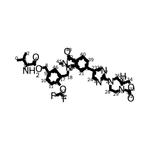 CC(C)[C@H](N)C(=O)OCc1ccc(OC(F)F)c(Cn2c3cc(-c4cnc(N5CCN6C(=O)OC[C@@H]6C5)nc4)ccc3c(=O)n2C)c1